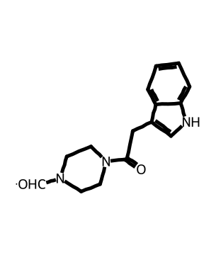 O=[C]N1CCN(C(=O)Cc2c[nH]c3ccccc23)CC1